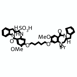 COc1cc2c(cc1OCCCCCOc1cc3c(cc1OC)C(=O)N1c4ccccc4C[C@H]1CN3C(C)C)NC(S(=O)(=O)O)[C@@H]1Cc3ccccc3N1C2=O